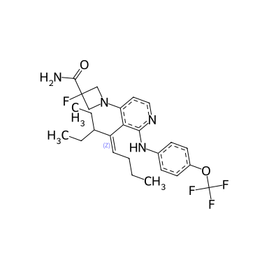 CCC/C=C(\c1c(N2CC(F)(C(N)=O)C2)ccnc1Nc1ccc(OC(F)(F)F)cc1)C(CC)CC